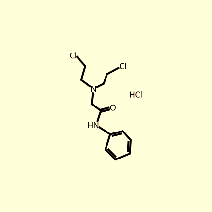 Cl.O=C(CN(CCCl)CCCl)Nc1ccccc1